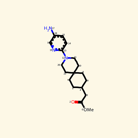 COC(=O)CC1CCC2(CC1)CCN(c1ccc(N)cn1)CC2